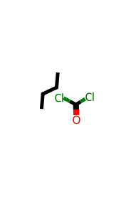 CCCC.O=C(Cl)Cl